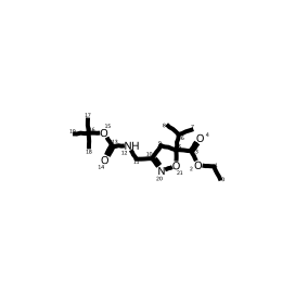 CCOC(=O)C1(C(C)C)CC(CNC(=O)OC(C)(C)C)=NO1